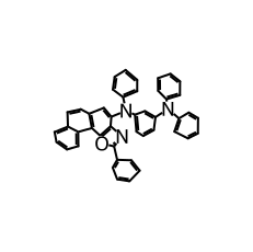 c1ccc(-c2nc3c(N(c4ccccc4)c4cccc(N(c5ccccc5)c5ccccc5)c4)cc4ccc5ccccc5c4c3o2)cc1